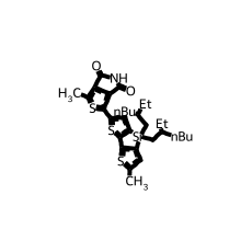 CCCCC(CC)C[Si]1(CC(CC)CCCC)c2cc(C)sc2-c2sc(-c3sc(C)c4c3C(=O)NC4=O)cc21